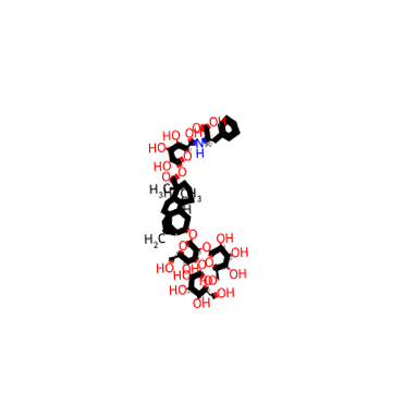 C=C1CC23CC[C@H]4[C@@](C)(CCC[C@@]4(C)C(=O)OC4O[C@H](C(O)N[C@H](Cc5ccccc5)C(=O)O)[C@@H](O)[C@H](O)[C@H]4O)[C@@H]2CC(O[C@@H]2O[C@H](CO)[C@@H](O)C(O[C@@H]4O[C@H](CO)[C@@H](O)[C@H](O)[C@H]4O)[C@H]2O[C@@H]2O[C@H](CO)[C@@H](O)[C@H](O)[C@H]2O)C1C3